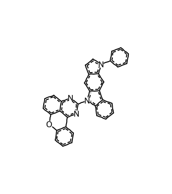 c1ccc(-n2ccc3cc4c(cc32)c2ccccc2n4-c2nc3c4c(cccc4n2)Oc2ccccc2-3)cc1